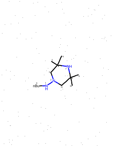 CCCCNN1CC(C)(C)NC(C)(C)C1